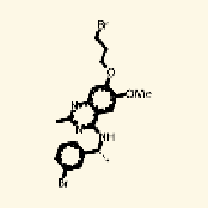 COc1cc2c(N[C@H](C)c3cccc(Br)c3)nc(C)nc2cc1OCCCBr